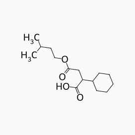 CC(C)CCOC(=O)CC(C(=O)O)C1CCCCC1